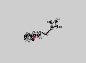 CCC1CC2CCC(C=O)(NC(=O)c3cc(-c4c(OC)cccc4OC)n(-c4ccc(C(=O)N(C)CCCN(C)CCCN(C)C(=O)CCCCCNC(=O)CN5CCN(CC(=O)O)CCN(CC(=O)O)CCN(CC(=O)O)CC5)cc4C(C)C)n3)C(C1)C2